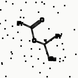 [CH2]C(C)(C)C(OC(=O)C(C)C)C(C)C